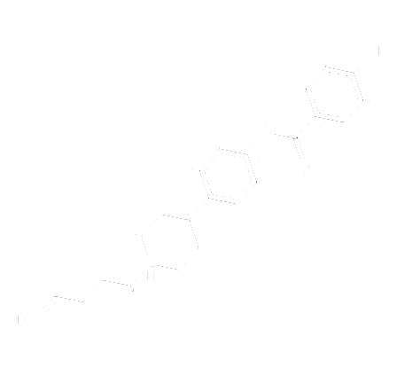 C=CCCC[SiH]1CCC(c2ccc(OC(=O)c3ccc(Cl)cc3)cc2)CC1